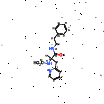 CC(Cc1ccccn1)(NC(=O)O)C(=O)NCCc1ccccc1